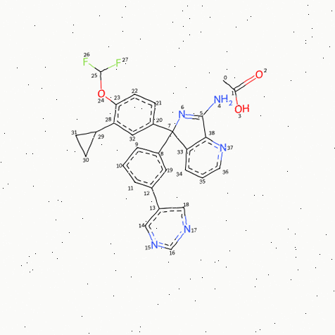 CC(=O)O.NC1=NC(c2cccc(-c3cncnc3)c2)(c2ccc(OC(F)F)c(C3CC3)c2)c2cccnc21